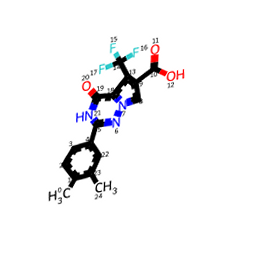 Cc1ccc(-c2nn3cc(C(=O)O)c(C(F)(F)F)c3c(=O)[nH]2)cc1C